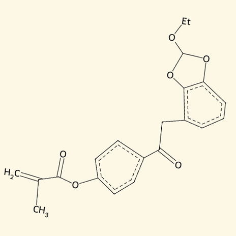 C=C(C)C(=O)Oc1ccc(C(=O)Cc2cccc3c2OC(OCC)O3)cc1